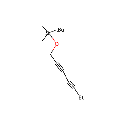 CCC#CC#CCO[Si](C)(C)C(C)(C)C